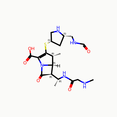 CNCC(=O)N[C@H](C)[C@H]1C(=O)N2C(C(=O)O)=C(S[C@@H]3CN[C@H](CNC=O)C3)[C@H](C)[C@@H]12